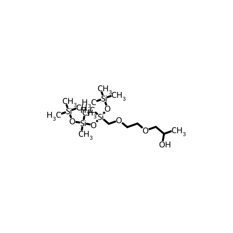 CC(O)COCCOC[Si](C)(O[Si](C)(C)C)O[Si](C)(C)O[Si](C)(C)C